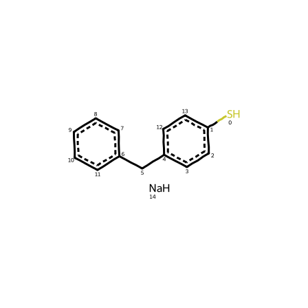 Sc1ccc(Cc2ccccc2)cc1.[NaH]